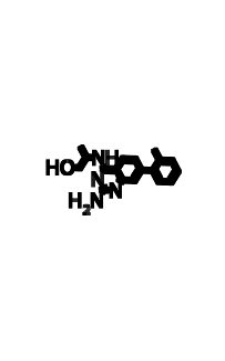 Cc1ccccc1-c1ccc2c(NC(C)CO)nc(N)nc2c1